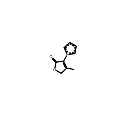 CC1=C(n2cccc2)C(=O)OC1